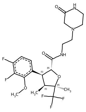 COc1c([C@H]2[C@H](C(=O)NCCN3CCNC(=O)C3)O[C@@](C)(C(F)(F)F)[C@H]2C)ccc(F)c1F